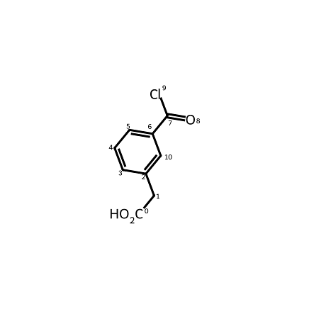 O=C(O)Cc1cccc(C(=O)Cl)c1